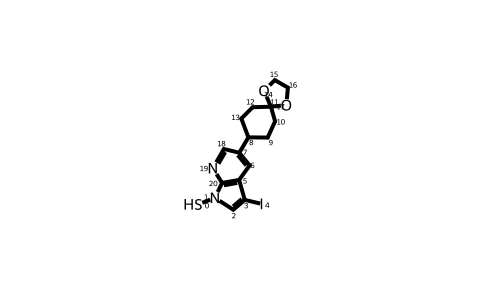 Sn1cc(I)c2cc(C3CCC4(CC3)OCCO4)cnc21